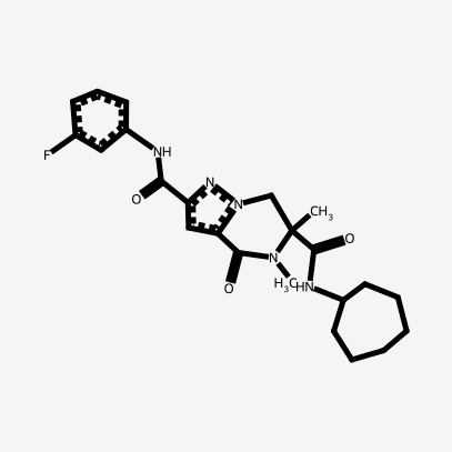 CN1C(=O)c2cc(C(=O)Nc3cccc(F)c3)nn2CC1(C)C(=O)NC1CCCCCC1